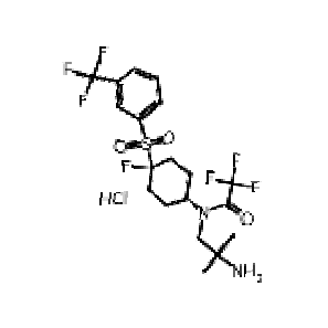 CC(C)(N)CN(C(=O)C(F)(F)F)[C@H]1CC[C@](F)(S(=O)(=O)c2cccc(C(F)(F)F)c2)CC1.Cl